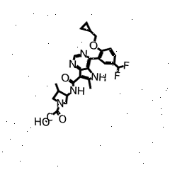 Cc1[nH]c2c(-c3cc(C(F)F)ccc3OCC3CC3)ncnc2c1C(=O)NC1CN(C(=O)CO)CC1C